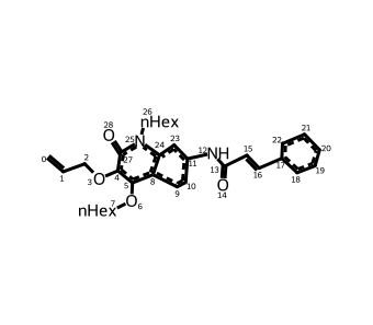 C=CCOc1c(OCCCCCC)c2ccc(NC(=O)C=Cc3ccccc3)cc2n(CCCCCC)c1=O